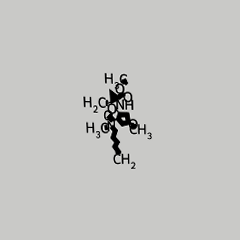 C=CCCCCN(C)C(=O)[C@@H]1C[C@H](OC)C[C@H]1C(=O)N[C@]1(C(=O)OCC)C[C@H]1C=C